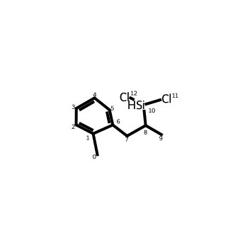 Cc1ccccc1CC(C)[SiH](Cl)Cl